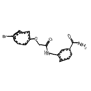 NC(=O)c1cccc(NC(=O)COc2ccc(Br)cc2)c1